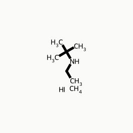 C.CCNC(C)(C)C.I